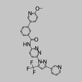 COc1ccc(-c2cccc(C(=O)Nc3ccc(-n4nc(-c5cccnc5)cc4C(F)(F)F)nn3)c2)cn1